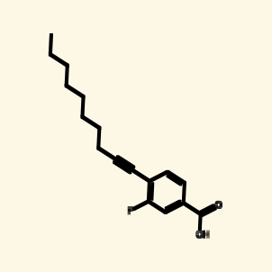 CCCCCCCCC#Cc1ccc(C(=O)O)cc1F